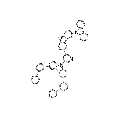 c1ccc(-c2cccc(-c3ccc4c(c3)c3cc(-c5cccc(-c6ccccc6)c5)ccc3n4-c3cncc(-c4ccc5oc6ccc(-n7c8ccccc8c8ccccc87)cc6c5c4)c3)c2)cc1